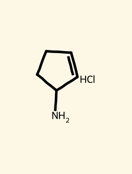 Cl.NC1C=CCC1